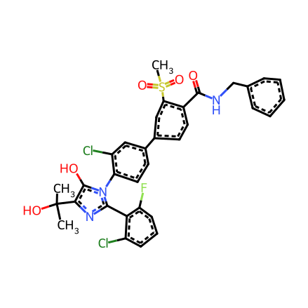 CC(C)(O)c1nc(-c2c(F)cccc2Cl)n(-c2ccc(-c3ccc(C(=O)NCc4ccccc4)c(S(C)(=O)=O)c3)cc2Cl)c1O